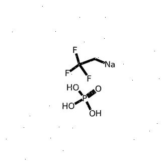 FC(F)(F)[CH2][Na].O=P(O)(O)O